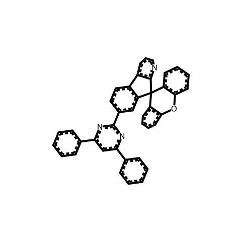 c1ccc(-c2cc(-c3ccccc3)nc(-c3ccc4c(c3)C3(c5ccccc5Oc5ccccc53)c3ncccc3-4)n2)cc1